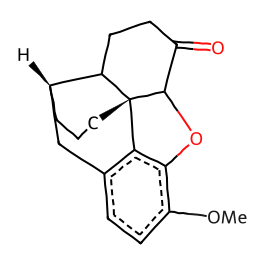 COc1ccc2c3c1OC1C(=O)CCC4[C@H](CCC[C@]314)C2